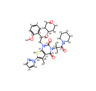 COc1ccccc1C(Cn1c(=O)n(C(C)(C)C(=O)N2CCCCC2)c(=O)c2c(C)c(-n3cccn3)sc21)OC1CCOCC1